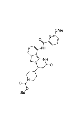 COc1cccc(C(=O)Nc2cccc3nn4c(C5CCN(C(=O)OC(C)(C)C)CC5)cc(=O)[nH]c4c23)n1